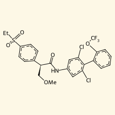 CCS(=O)(=O)c1ccc([C@H](COC)C(=O)Nc2cc(Cl)c(-c3ccccc3OC(F)(F)F)c(Cl)c2)cc1